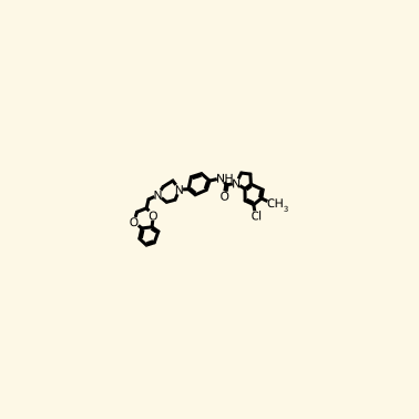 Cc1cc2c(cc1Cl)N(C(=O)Nc1ccc(N3CCN(CC4COc5ccccc5O4)CC3)cc1)CC2